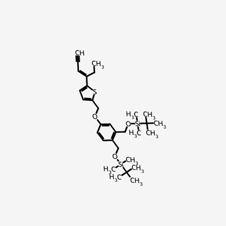 C#C/C=C(\CC)c1ccc(COc2ccc(CO[Si](C)(C)C(C)(C)C)c(CO[Si](C)(C)C(C)(C)C)c2)s1